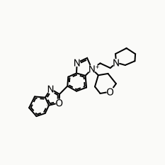 C1=Nc2cc(-c3nc4ccccc4o3)ccc2[N+]1(CCN1CCCCC1)C1CCOCC1